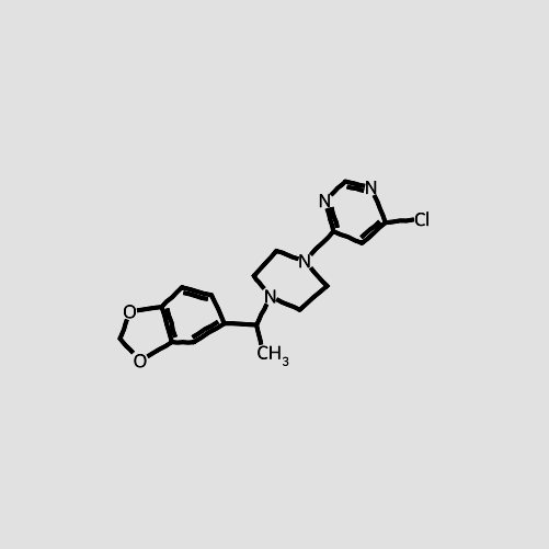 CC(c1ccc2c(c1)OCO2)N1CCN(c2cc(Cl)ncn2)CC1